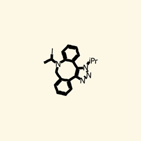 CC(I)N1Cc2ccccc2-c2nnn(C(C)C)c2-c2ccccc21